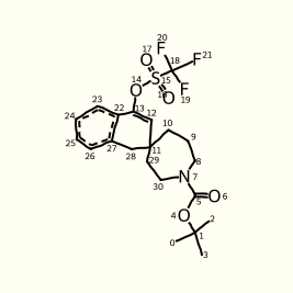 CC(C)(C)OC(=O)N1CCCC2(C=C(OS(=O)(=O)C(F)(F)F)c3ccccc3C2)CC1